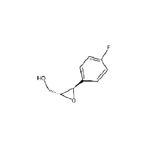 OC[C@H]1O[C@@H]1c1ccc(F)cc1